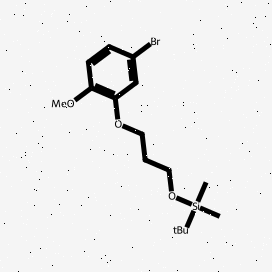 COc1ccc(Br)cc1OCCCO[Si](C)(C)C(C)(C)C